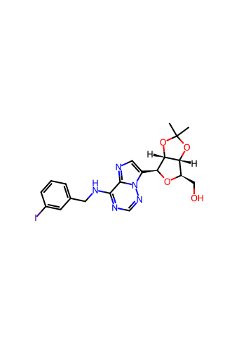 CC1(C)O[C@@H]2[C@H](O1)[C@@H](CO)O[C@H]2c1cnc2c(NCc3cccc(I)c3)ncnn12